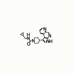 O=C(NCC1CC1)N1CCC(c2c[nH]c3ncc4ncccc4c23)CC1